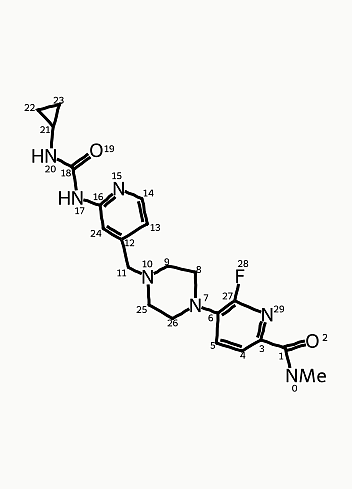 CNC(=O)c1ccc(N2CCN(Cc3ccnc(NC(=O)NC4CC4)c3)CC2)c(F)n1